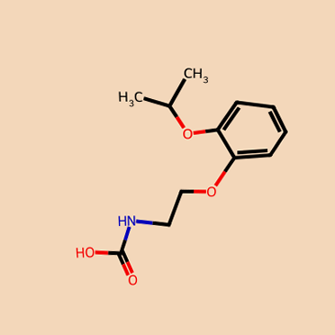 CC(C)Oc1ccccc1OCCNC(=O)O